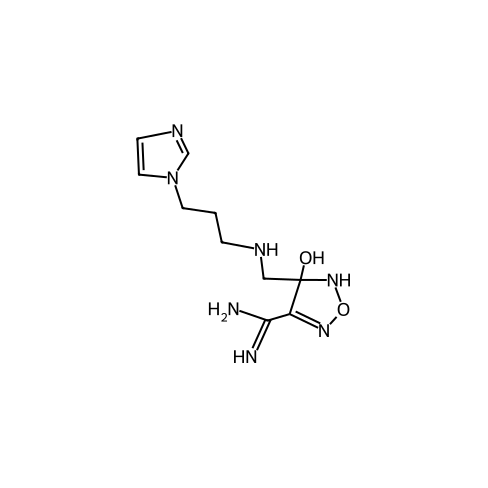 N=C(N)C1=NONC1(O)CNCCCn1ccnc1